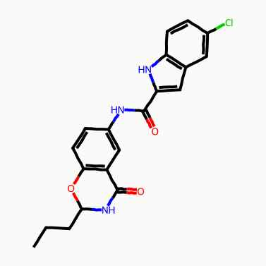 CCCC1NC(=O)c2cc(NC(=O)c3cc4cc(Cl)ccc4[nH]3)ccc2O1